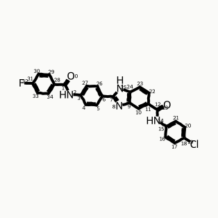 O=C(Nc1ccc(-c2nc3cc(C(=O)Nc4ccc(Cl)cc4)ccc3[nH]2)cc1)c1ccc(F)cc1